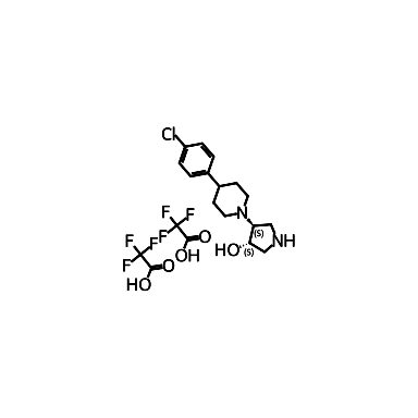 O=C(O)C(F)(F)F.O=C(O)C(F)(F)F.O[C@H]1CNC[C@@H]1N1CCC(c2ccc(Cl)cc2)CC1